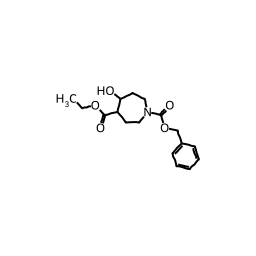 CCOC(=O)C1CCN(C(=O)OCc2ccccc2)CCC1O